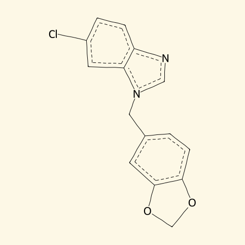 Clc1ccc2ncn(Cc3ccc4c(c3)OCO4)c2c1